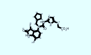 O=C(O)CSc1cnc(NC(=O)N(CC2CCCC2)c2ccc(F)c3c2C(F)C(=O)N3)s1